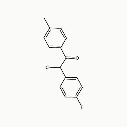 Cc1ccc(C(=O)C(Cl)c2ccc(F)cc2)cc1